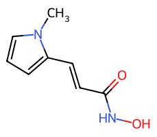 Cn1cccc1/C=C/C(=O)NO